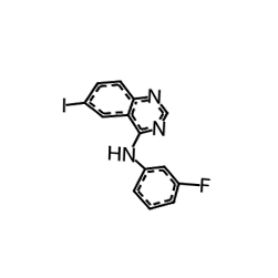 Fc1cccc(Nc2ncnc3ccc(I)cc23)c1